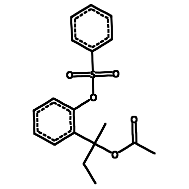 CCC(C)(OC(C)=O)c1ccccc1OS(=O)(=O)c1ccccc1